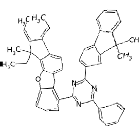 C/C=C1\C(=C/C)c2ccc3c(oc4cccc(-c5nc(-c6ccccc6)nc(-c6ccc7c(c6)C(C)(C)c6ccccc6-7)n5)c43)c2C1(C)CC